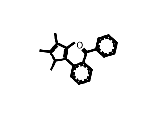 CC1=C(C)C(C)C(c2ccccc2C(=O)c2ccccc2)=C1C